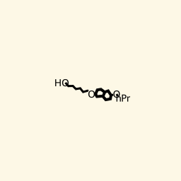 CCCOc1ccc2cc(OCCCCCCO)ccc2c1